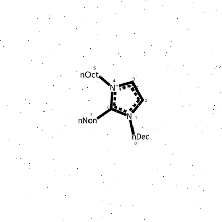 CCCCCCCCCCn1cc[n+](CCCCCCCC)c1CCCCCCCCC